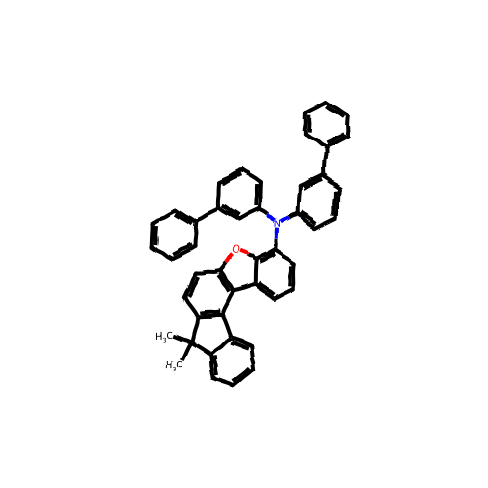 CC1(C)c2ccccc2-c2c1ccc1oc3c(N(c4cccc(-c5ccccc5)c4)c4cccc(-c5ccccc5)c4)cccc3c21